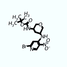 CC(C)(C)OC(=O)NC1COCC(Nc2cc(Br)ncc2[N+](=O)[O-])C1